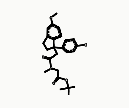 COc1ccc2c(c1)CCC2(CC(=O)N(C)CC(=O)OC(C)(C)C)c1ccc(Cl)cc1